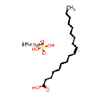 CCCCCCCC/C=C\CCCCCCCC(=O)O.O=S(=O)(O)O.[NaH].[NaH]